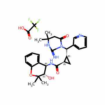 CC1(C)CC(=O)N(C(c2cccnc2)[C@@H]2C[C@H]2C(=O)N[C@@H]2c3ccccc3OC(C)(C)[C@H]2O)C(=N)N1.O=C(O)C(F)(F)F